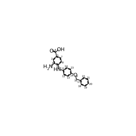 Nc1cc(C(=O)O)ccc1Nc1ccc(OCc2ccccc2)cc1